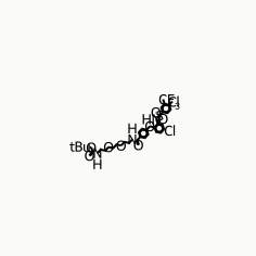 CC(C)(C)OC(=O)NCCOCCOCCNC(=O)c1ccc(Oc2ccc(Cl)cc2NS(=O)(=O)c2ccc(Cl)c(C(F)(F)F)c2)cc1